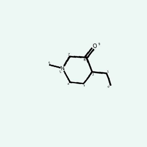 CCC1CCN(C)CC1=O